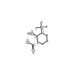 C[N+](C)(C)[C@H]1CCC[C@H](C(=O)[O-])[C@H]1O